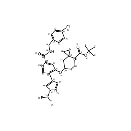 CC(C)(C)OC(=O)N1CCC(Oc2cc(C(=O)NCc3ccc(Cl)cc3)ncc2-c2cnn(C(F)F)c2)CC12CC2